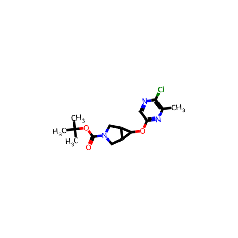 Cc1nc(OC2C3CN(C(=O)OC(C)(C)C)CC32)cnc1Cl